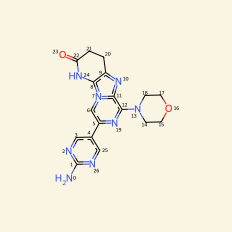 Nc1ncc(-c2cn3c4c(nc3c(N3CCOCC3)n2)CCC(=O)N4)cn1